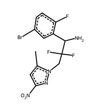 Cc1cc([N+](=O)[O-])nn1CC(F)(F)C(N)c1cc(Br)ccc1F